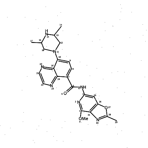 COc1nc(NC(=O)c2ccc(N3CC(C)NC(C)C3)c3nccnc23)cc2oc(C)nc12